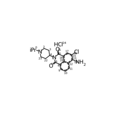 CC(C)N1CCC(N2C(=O)c3cccc4c(N)c(Cl)cc(c34)C2=O)CC1.Cl